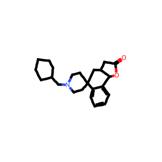 O=C1CC2CC3(CCN(CC4CCCCC4)CC3)c3ccccc3C2O1